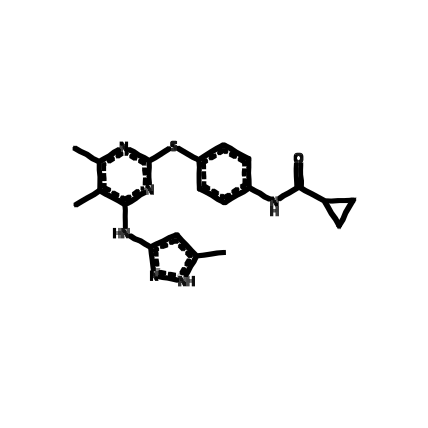 Cc1cc(Nc2nc(Sc3ccc(NC(=O)C4CC4)cc3)nc(C)c2C)n[nH]1